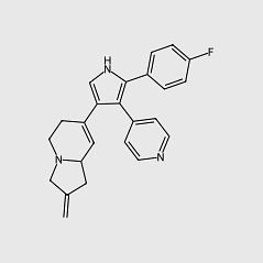 C=C1CC2C=C(c3c[nH]c(-c4ccc(F)cc4)c3-c3ccncc3)CCN2C1